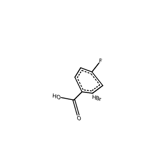 Br.O=C(O)c1ccc(F)cc1